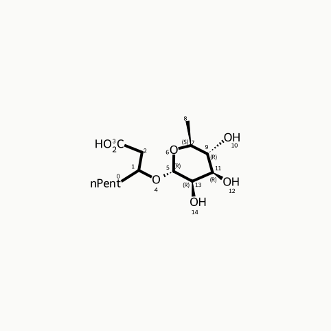 CCCCCC(CC(=O)O)O[C@@H]1O[C@@H](C)[C@H](O)[C@@H](O)[C@H]1O